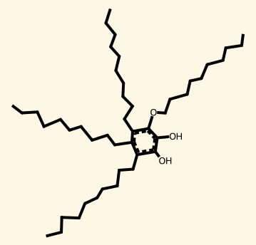 CCCCCCCCCCOc1c(O)c(O)c(CCCCCCCCCC)c(CCCCCCCCCC)c1CCCCCCCCCC